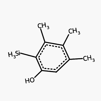 Cc1cc(O)c([SiH3])c(C)c1C